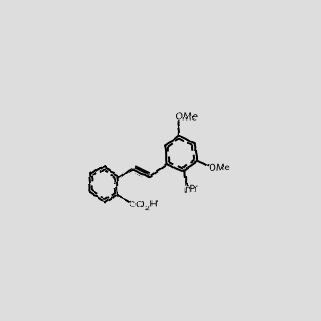 CCCc1c(C=Cc2ccccc2C(=O)O)cc(OC)cc1OC